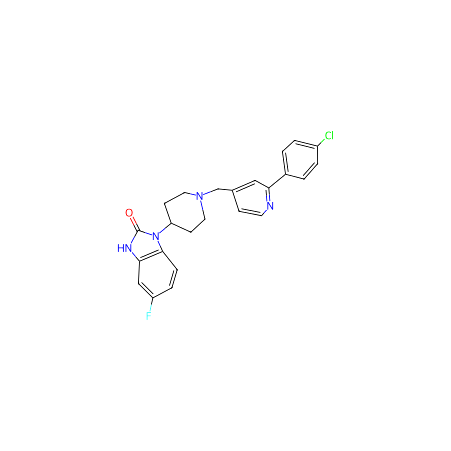 O=c1[nH]c2cc(F)ccc2n1C1CCN(Cc2ccnc(-c3ccc(Cl)cc3)c2)CC1